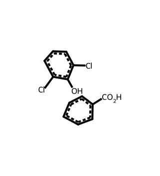 O=C(O)c1ccccc1.Oc1c(Cl)cccc1Cl